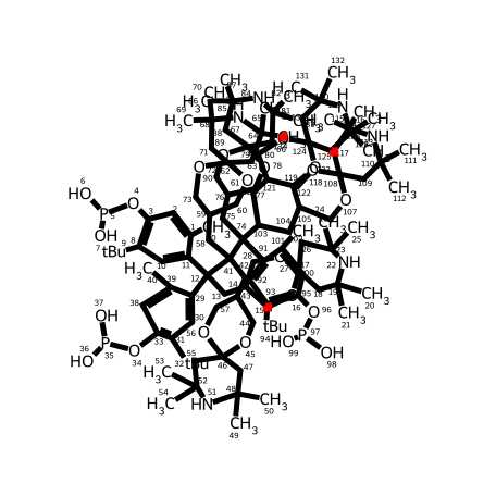 Cc1cc(OP(O)O)c(C(C)(C)C)cc1C(CC1COC2(CC(C)(C)NC(C)(C)C2)OC1)(c1cc(C(C)(C)C)c(OP(O)O)cc1C)C(CC1COC2(CC(C)(C)NC(C)(C)C2)OC1)(CC1COC2(CC(C)(C)NC(C)(C)C2)OC1)C(CC1COC2(CC(C)(C)NC(C)(C)C2)OC1)(c1cc(C(C)(C)C)c(OP(O)O)cc1C)C(CC1COC2(CC(C)(C)NC(C)(C)C2)OC1)CC1COC2(CC(C)(C)NC(C)(C)C2)OC1